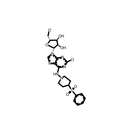 O=S(=O)(c1ccccc1)C1CCN(Nc2nc(Cl)nc3c2ncn3[C@@H]2O[C@H](CCl)[C@@H](O)[C@H]2O)CC1